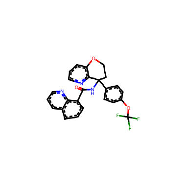 O=C(NC1(c2ccc(OC(F)(F)F)cc2)CCOc2cccnc21)c1cccc2cccnc12